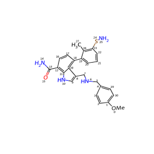 COc1ccc(CNCc2c[nH]c3c(C(N)=O)ccc(-c4cccc(SN)c4C)c23)cc1